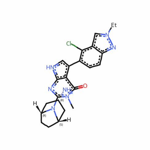 CCn1cc2c(Cl)c(-c3c[nH]c4nc(N5[C@@H]6CC[C@H]5C[C@@H](N)C6)n(C)c(=O)c34)ccc2n1